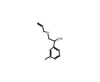 C=CCOCC(C=O)c1cccc(C)c1